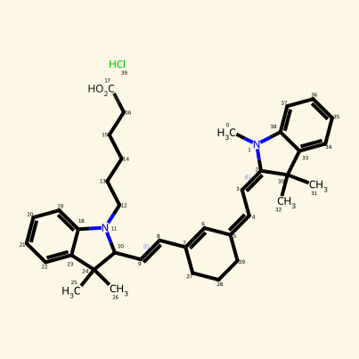 CN1/C(=C/C=C2C=C(/C=C/C3N(CCCCCC(=O)O)c4ccccc4C3(C)C)CCC2)C(C)(C)c2ccccc21.Cl